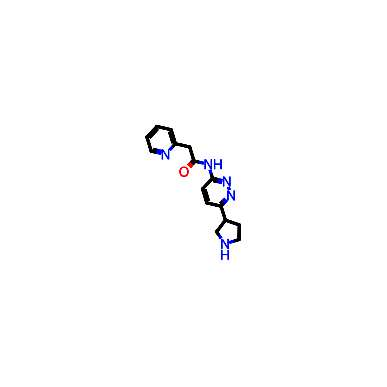 O=C(Cc1ccccn1)Nc1ccc(C2CCNC2)nn1